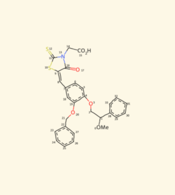 COC(COc1ccc(C=C2SC(=S)N(CC(=O)O)C2=O)cc1OCc1ccccc1)c1ccccc1